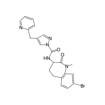 CN1C(=O)C(NC(=O)n2cc(Cc3ccccn3)cn2)CCc2ccc(Br)cc21